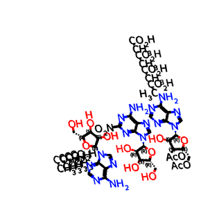 CC(=O)O.CC(=O)O.CC(=O)O.CC(=O)O.CC(=O)O.CC(=O)O.CC(=O)O.CC(=O)O.CC(=O)OC[C@H]1O[C@@H](n2cnc3c(N)ncnc32)[C@H](O)[C@@H]1OC(C)=O.Nc1nc([N+](=O)[O-])nc2c1ncn2[C@@H]1O[C@H](CO)[C@@H](O)[C@H]1O.Nc1ncnc2c1ncn2[C@@H]1O[C@H](CO)[C@@H](O)[C@H]1O